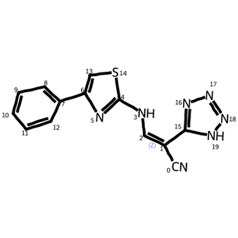 N#C/C(=C/Nc1nc(-c2ccccc2)cs1)c1nnn[nH]1